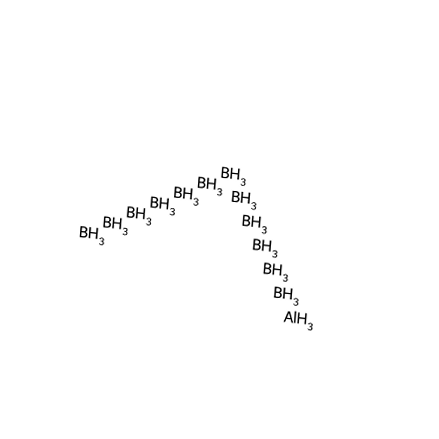 B.B.B.B.B.B.B.B.B.B.B.B.[AlH3]